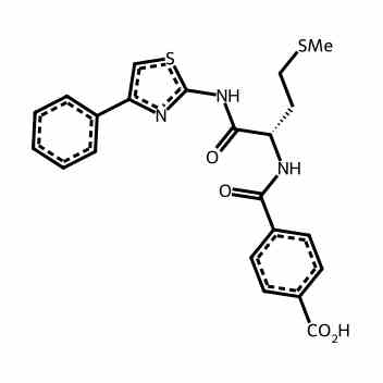 CSCC[C@H](NC(=O)c1ccc(C(=O)O)cc1)C(=O)Nc1nc(-c2ccccc2)cs1